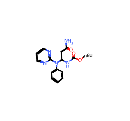 CCCCOC(=O)NC(CC(N)=O)N(c1ccccc1)c1ncccn1